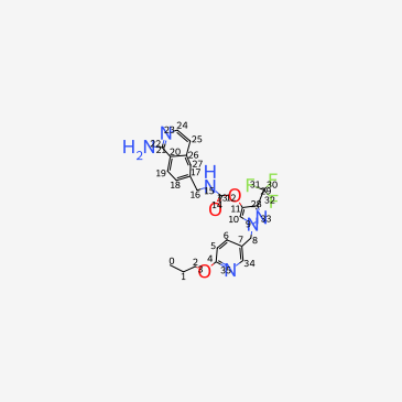 CCCOc1ccc(Cn2cc(OC(=O)NCc3ccc4c(N)nccc4c3)c(C(F)(F)F)n2)cn1